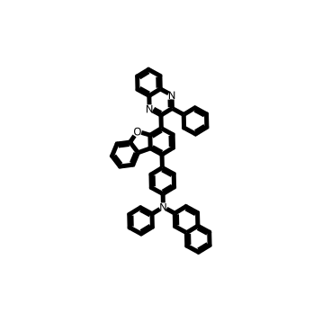 C1=CCC(c2nc3ccccc3nc2-c2ccc(-c3ccc(N(c4ccccc4)c4ccc5ccccc5c4)cc3)c3c2oc2ccccc23)C=C1